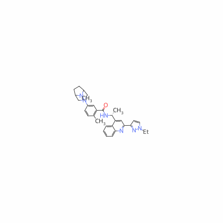 CCn1ccc(-c2cc([C@@H](C)NC(=O)c3cc(N4CC5CCC(C4)N5C)ccc3C)c3ccccc3n2)n1